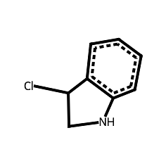 ClC1CNc2ccccc21